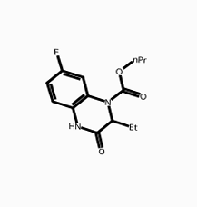 CCCOC(=O)N1c2cc(F)ccc2NC(=O)C1CC